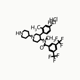 Cc1cc(F)ccc1C1CN(C2CCNCC2)CCC1N(C)C(=O)c1cc(C(F)(F)F)cc(C(F)(F)F)c1.Cl.Cl